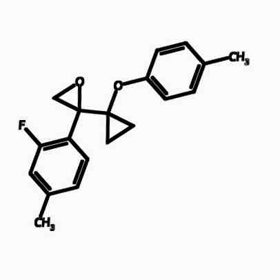 Cc1ccc(OC2(C3(c4ccc(C)cc4F)CO3)CC2)cc1